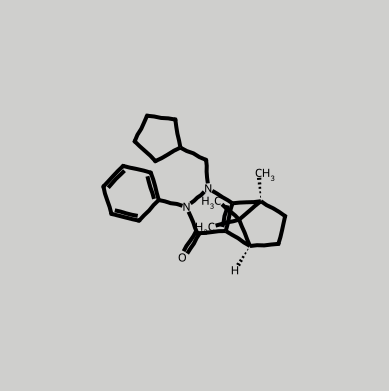 CC1(C)[C@H]2CC[C@]1(C)c1c2c(=O)n(-c2ccccc2)n1CC1CCCC1